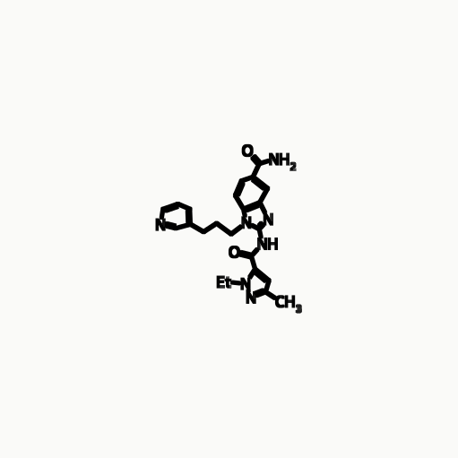 CCn1nc(C)cc1C(=O)Nc1nc2cc(C(N)=O)ccc2n1CCCc1cccnc1